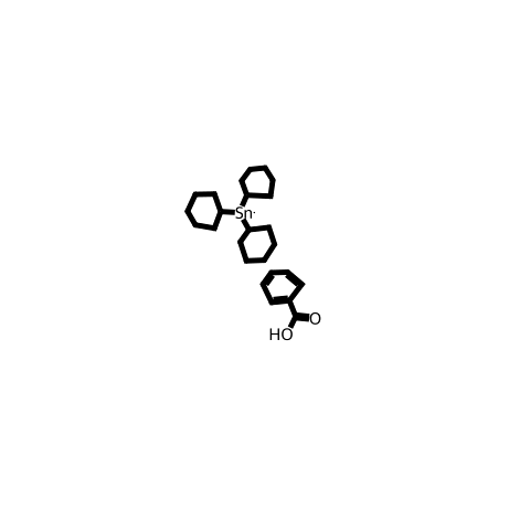 C1CC[CH]([Sn]([CH]2CCCCC2)[CH]2CCCCC2)CC1.O=C(O)c1ccccc1